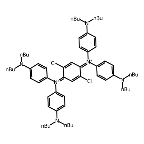 CCCCN(CCCC)c1ccc([N+](=C2C=C(Cl)C(=[N+](c3ccc(N(CCCC)CCCC)cc3)c3ccc(N(CCCC)CCCC)cc3)C=C2Cl)c2ccc(N(CCCC)CCCC)cc2)cc1